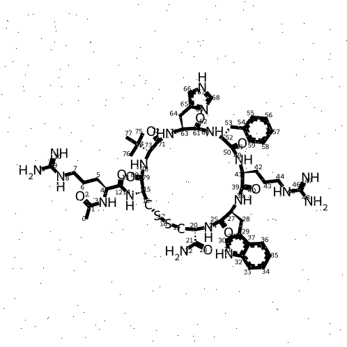 CC(=O)N[C@@H](CCCNC(=N)N)C(=O)N[C@H]1CSSC[C@@H](C(N)=O)NC(=O)[C@H](Cc2c[nH]c3ccccc23)NC(=O)[C@H](CCCNC(=N)N)NC(=O)[C@@H](Cc2ccccc2)NC(=O)[C@H](Cc2c[nH]cn2)NC(=O)[C@@H](C(C)(C)C)NC1=O